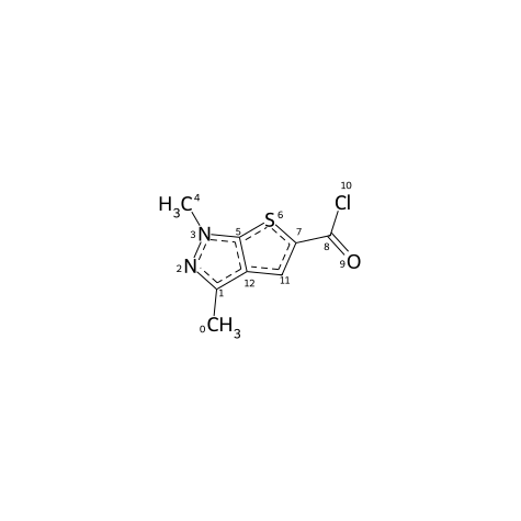 Cc1nn(C)c2sc(C(=O)Cl)cc12